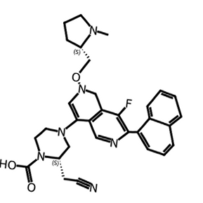 CN1CCC[C@H]1CON1C=C(N2CCN(C(=O)O)[C@@H](CC#N)C2)c2cnc(-c3cccc4ccccc34)c(F)c2C1